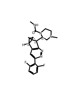 CNC(=O)N1CCN(C)C[C@H]1[C@@]12CC[C@@H](c3cc(-c4c(F)cccc4F)nnc31)C2(C)C